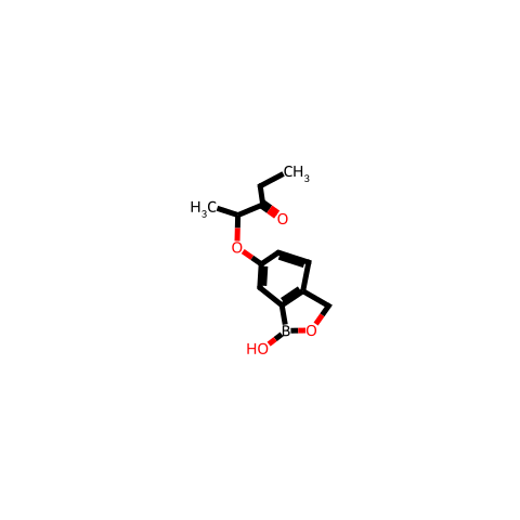 CCC(=O)C(C)Oc1ccc2c(c1)B(O)OC2